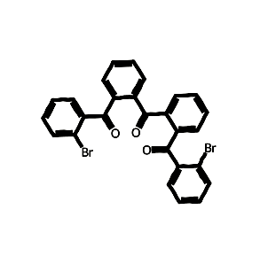 O=C(c1ccccc1Br)c1ccccc1C(=O)c1ccccc1C(=O)c1ccccc1Br